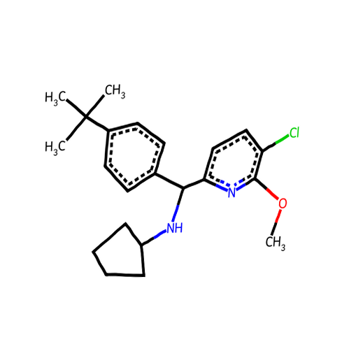 COc1nc(C(NC2CCCC2)c2ccc(C(C)(C)C)cc2)ccc1Cl